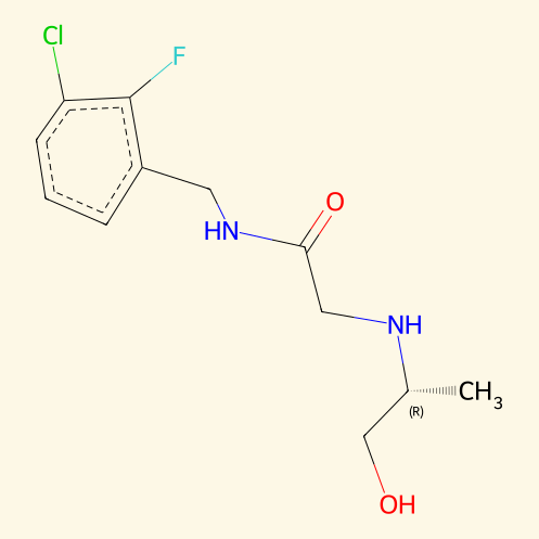 C[C@H](CO)NCC(=O)NCc1cccc(Cl)c1F